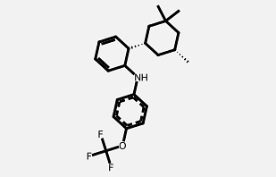 C[C@@H]1C[C@H](C2C=CC=CC2Nc2ccc(OC(F)(F)F)cc2)CC(C)(C)C1